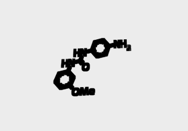 COc1cccc(NC(=O)Nc2ccc(N)cc2)c1